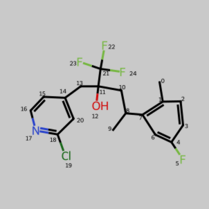 Cc1ccc(F)cc1C(C)CC(O)(Cc1ccnc(Cl)c1)C(F)(F)F